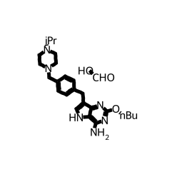 CCCCOc1nc(N)c2[nH]cc(Cc3ccc(CN4CCN(C(C)C)CC4)cc3)c2n1.O=CO